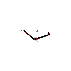 CCCCCCCCCCCCCCCCCC[N+](C)(C)CCCCCCCCCCCCCCCCCCCc1ccccc1.[Cl-]